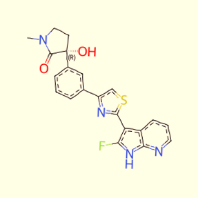 CN1CC[C@@](O)(c2cccc(-c3csc(-c4c(F)[nH]c5ncccc45)n3)c2)C1=O